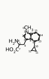 Cn1cc(CC(N)C(=O)O)c2c(C3CC3)cccc21